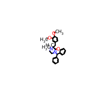 COc1ccc(CC2(C)C(=O)N(C(c3ccccc3)c3ccccc3)CCN2C)cc1OC